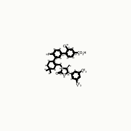 C[C@H]1[C@@H](c2cc(C(F)(F)F)cc(C(F)(F)F)c2)OC(=O)N1CC1=C(c2cc(-c3ccc(C(=O)O)cc3Cl)ccc2F)CCC(C)(C)C1